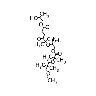 CCOCC(C)(C)COC(C)(C)C(=O)OCC(C)OC(C)(C)C(=O)CCC(=O)OCC(C)O